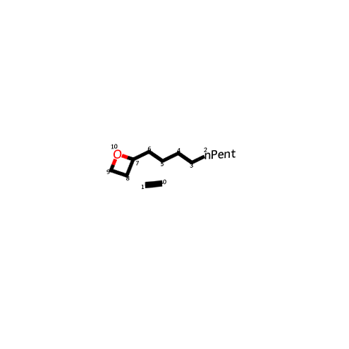 C=C.CCCCCCCCCC1CCO1